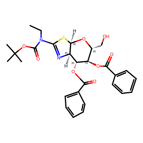 CCN(C(=O)OC(C)(C)C)C1=N[C@@H]2[C@@H](OC(=O)c3ccccc3)[C@H](OC(=O)c3ccccc3)[C@@H](CO)O[C@@H]2S1